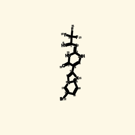 N=C(/N=c1/[nH]cc(-c2cn3cc(Br)ccc3n2)c(=O)[nH]1)C(F)(F)F